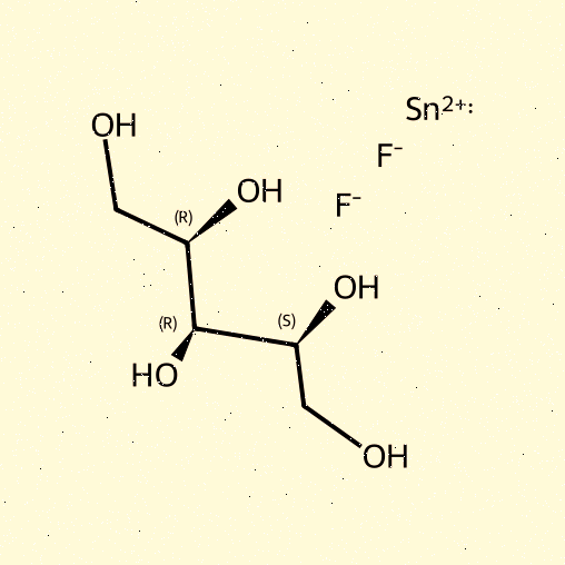 OC[C@@H](O)[C@H](O)[C@@H](O)CO.[F-].[F-].[Sn+2]